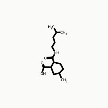 CC(C)CCCNC(=O)C1CCC(C)CC1C(=O)O